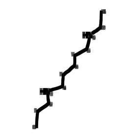 CCCNCCCCCNCC